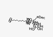 CCCCCCCCCCCCCC[C@@H](O)[C@@H](O)[C@H](COC1OC(CO)C(O)C(O)C1O)n1nnn(CCCCCCCCCCC23C4C5C6C4C2C6C53)c1=O